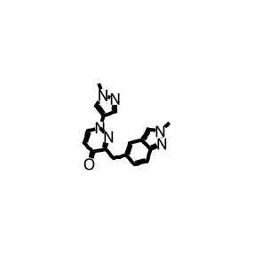 Cn1cc(-n2ccc(=O)c(Cc3ccc4nn(C)cc4c3)n2)cn1